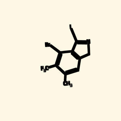 Cc1cc2c(c(Br)c1C(F)(F)F)C(I)=NC2